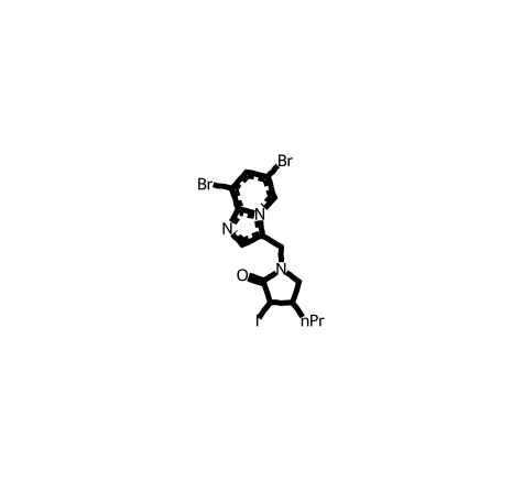 CCCC1CN(Cc2cnc3c(Br)cc(Br)cn23)C(=O)C1I